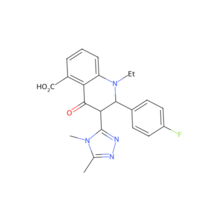 CCN1c2cccc(C(=O)O)c2C(=O)C(c2nnc(C)n2C)C1c1ccc(F)cc1